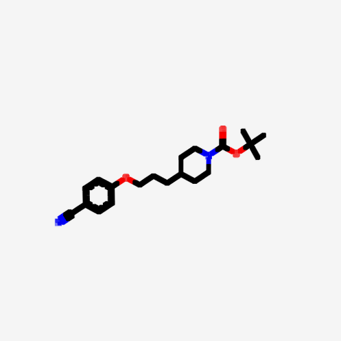 CC(C)(C)OC(=O)N1CCC(CCCOc2ccc(C#N)cc2)CC1